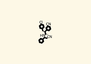 C[C@H](NC(CC#N)c1ccccc1)[C@@H](Cc1ccc(Cl)cc1)c1cccc(C#N)c1